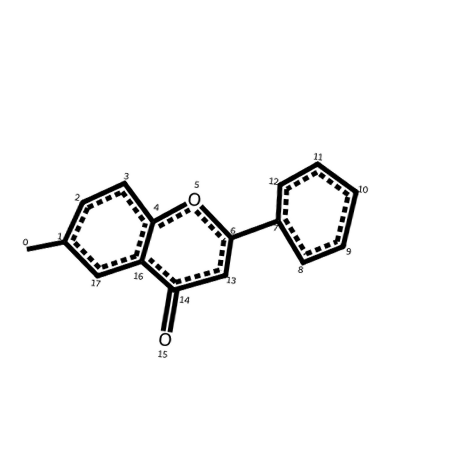 Cc1ccc2oc(-c3ccccc3)cc(=O)c2c1